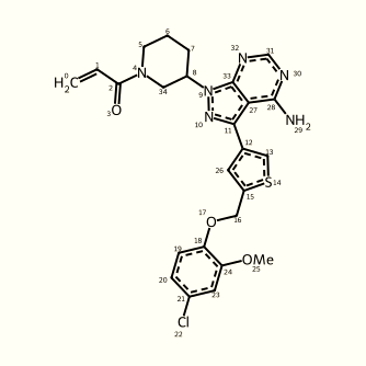 C=CC(=O)N1CCCC(n2nc(-c3csc(COc4ccc(Cl)cc4OC)c3)c3c(N)ncnc32)C1